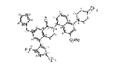 COc1cc(N2CCN(C)CC2)c2cncc(N3CCc4c(cc(Cn5ccnc5)cc4-c4cn(C)nc4C(F)(F)F)C3=O)c2c1